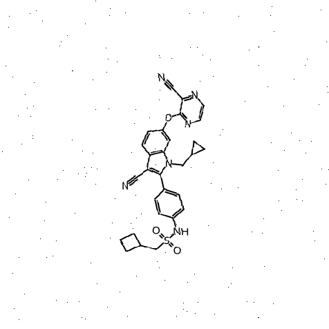 N#Cc1nccnc1Oc1ccc2c(C#N)c(-c3ccc(NS(=O)(=O)CC4CCC4)cc3)n(CC3CC3)c2c1